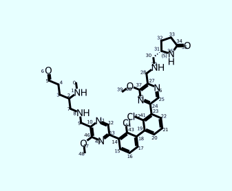 CNC(CCC=O)CNCc1ncc(-c2cccc(-c3cccc(-c4cnc(CNC[C@@H]5CCC(=O)N5)c(OC)n4)c3Cl)c2Cl)nc1OC